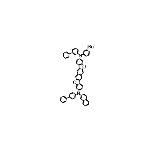 CC(C)(C)c1cccc(N(c2cccc(-c3ccccc3)c2)c2ccc3c(c2)oc2cc4cc5c(cc4cc23)oc2cc(N(c3ccc(-c4ccccc4)cc3)c3ccc4ccccc4c3)ccc25)c1